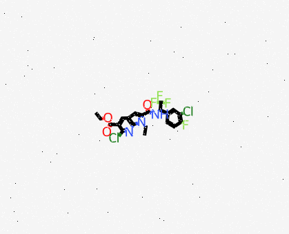 CCOC(=O)c1cc2cc(C(=O)NC(c3ccc(F)c(Cl)c3)C(F)(F)F)n(CC)c2nc1Cl